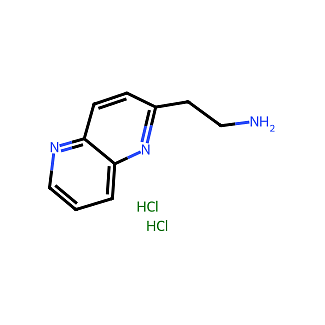 Cl.Cl.NCCc1ccc2ncccc2n1